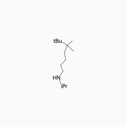 CC(C)NCCCCC(C)(C)C(C)(C)C